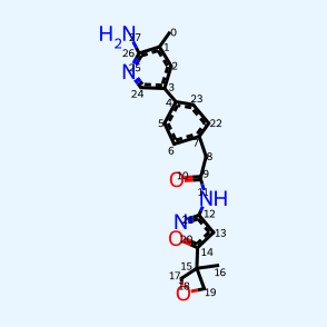 Cc1cc(-c2ccc(CC(=O)Nc3cc(C4(C)COC4)on3)cc2)cnc1N